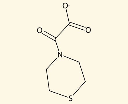 [O]C(=O)C(=O)N1CCSCC1